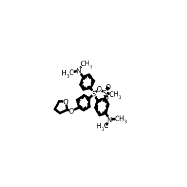 CN(C)c1ccc(S(OS(C)(=O)=O)(c2ccc(OC3CCCO3)cc2)c2ccc(N(C)C)cc2)cc1